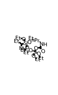 CCCNC(=O)O[Si](OCC)(OCC)OCC.CCO[Si](OCC)(OCC)C(N)CC